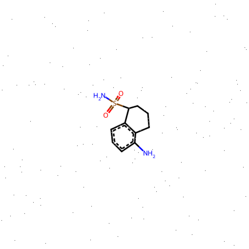 Nc1cccc2c1CCCC2S(N)(=O)=O